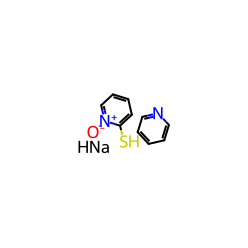 [NaH].[O-][n+]1ccccc1S.c1ccncc1